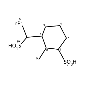 CCCC(C1CCCC(S(=O)(=O)O)C1C)S(=O)(=O)O